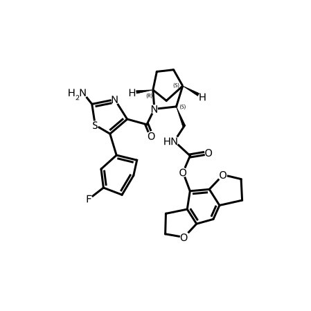 Nc1nc(C(=O)N2[C@@H]3CC[C@@H](C3)[C@H]2CNC(=O)Oc2c3c(cc4c2OCC4)OCC3)c(-c2cccc(F)c2)s1